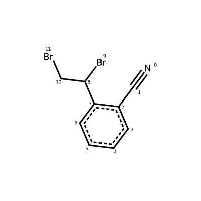 N#Cc1ccccc1C(Br)CBr